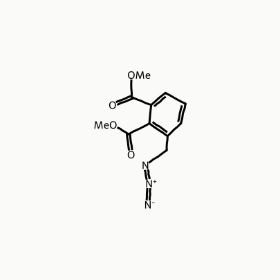 COC(=O)c1cccc(CN=[N+]=[N-])c1C(=O)OC